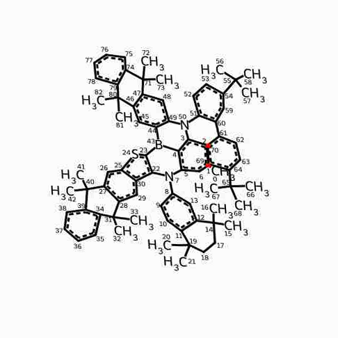 Cc1cc2c3c(c1)N(c1ccc4c(c1)C(C)(C)CCC4(C)C)c1c(sc4cc5c(cc14)C(C)(C)c1ccccc1C5(C)C)B3c1cc3c(cc1N2c1ccc(C(C)(C)C)cc1-c1ccc(C(C)(C)C)cc1)C(C)(C)c1ccccc1C3(C)C